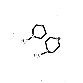 CN1CCCCC1.CN1CCNCC1